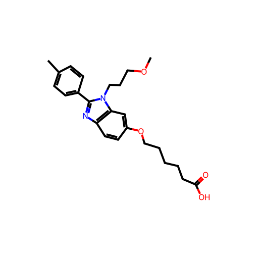 COCCCn1c(-c2ccc(C)cc2)nc2ccc(OCCCCCC(=O)O)cc21